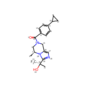 C[C@H]1CN(C(=O)c2ccc(C3CC3)cc2)Cc2cnc([C@@](C)(O)C(F)(F)F)n21